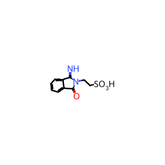 N=C1c2ccccc2C(=O)N1CCS(=O)(=O)O